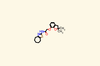 CC1(C)Cc2cccc(OCC(=O)Nc3nc4c(s3)CCCCC4)c2O1